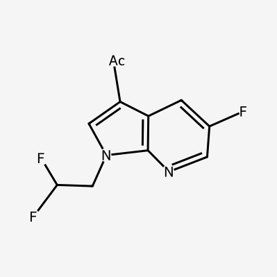 CC(=O)c1cn(CC(F)F)c2ncc(F)cc12